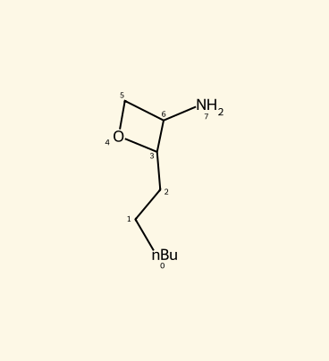 CCCCCCC1OCC1N